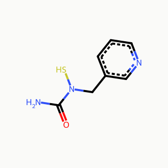 NC(=O)N(S)Cc1cccnc1